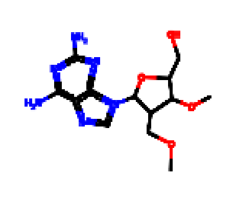 COCC1C(OC)C(CO)OC1n1cnc2c(N)nc(N)nc21